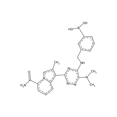 Cc1cn2c(C(N)=O)cccc2c1-c1nnc(N(C)C)c(NCc2cccc(B(O)O)c2)n1